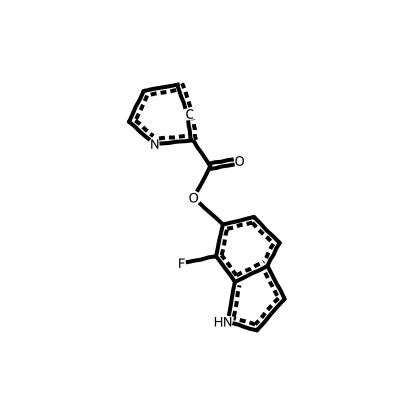 O=C(Oc1ccc2cc[nH]c2c1F)c1ccccn1